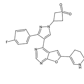 O=S1(=O)CC(n2cc(-c3ncnc4oc(C5=CNCCC5)cc34)c(-c3ccc(F)cc3)n2)C1